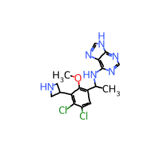 COc1c(C(C)Nc2ncnc3[nH]cnc23)cc(Cl)c(Cl)c1C1CNC1